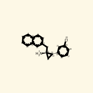 N[C@]1(Cc2ccc3ccccc3c2)C[C@H]1c1cccc(Cl)c1